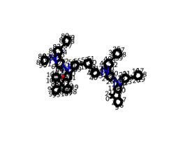 CC1(C)c2ccccc2-c2cc3c4cc(-c5ccccc5)ccc4n(-c4ccc5c(c4)c4cc(-c6ccccc6)ccc4n5-c4cccc(-c5cccc(-c6ccc7c(c6)c6cc8c(cc6n7-c6ccc7c(c6)c6cc(-c9ccccc9)ccc6n7-c6ccccc6)C6(c7ccccc7-c7ccccc76)c6ccccc6-8)c5)c4)c3cc21